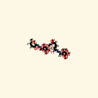 CC[C@H](OC)[C@@H](C)[C@@H]1C[C@H]1[C@H](O)[C@@H](C)/C=C/C=C(\C)[C@@H]1O[C@H](OC)[C@H](OC)[C@@H](OCCC[C@H](OC)[C@@H](C)[C@@H]2C[C@H]2[C@H](O)[C@@H](C)/C=C/C=C(\C)[C@@H]2O[C@@H](OC)[C@H](OC)[C@@H](OC)[C@@H]2OC)[C@@H]1OC